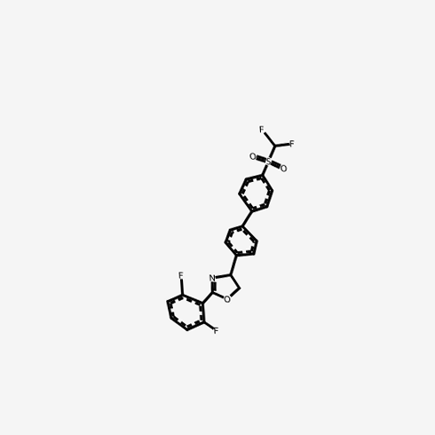 O=S(=O)(c1ccc(-c2ccc(C3COC(c4c(F)cccc4F)=N3)cc2)cc1)C(F)F